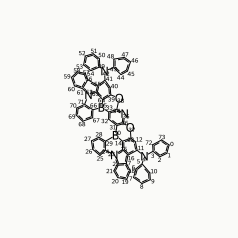 c1ccc(N(c2ccccc2)c2cc3c4c5c2c2ccccc2n5-c2ccccc2B4c2cc4c(nc2O3)Oc2cc(N(c3ccccc3)c3ccccc3)c3c5ccccc5n5c3c2B4c2ccccc2-5)cc1